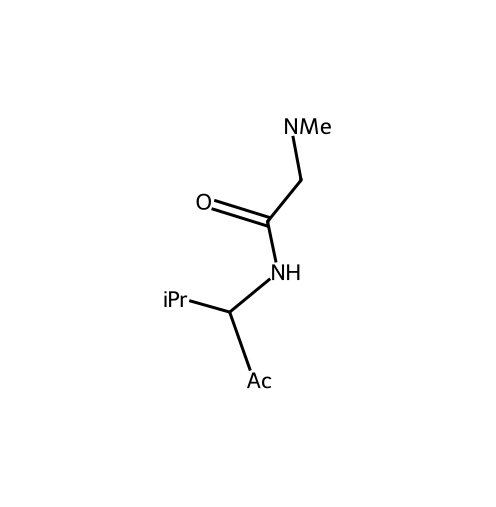 CNCC(=O)NC(C(C)=O)C(C)C